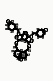 O=C(OCC1CCC2OC2C1)C1C(=O)OCC2CCC3OC3C23C(CCC2OC23)COC(=O)C1C(=O)OCC1CCC2OC2C1